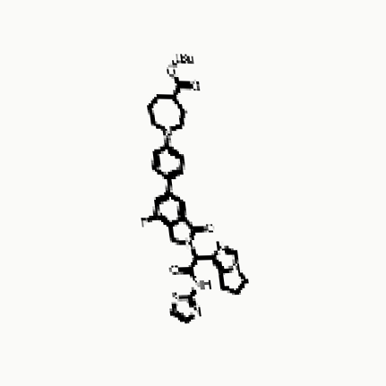 CC(C)(C)OC(=O)C1CCCN(c2ccc(-c3cc(F)c4c(c3)C(=O)N(C(C(=O)Nc3nccs3)c3ncn5c3CCC5)C4)cc2)CC1